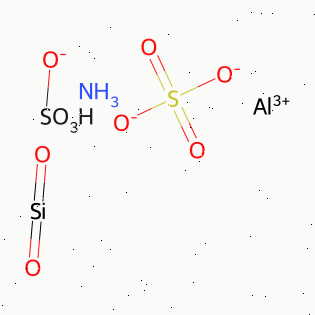 N.O=S(=O)([O-])O.O=S(=O)([O-])[O-].O=[Si]=O.[Al+3]